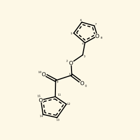 O=C(OCc1ccco1)C(=O)c1ccco1